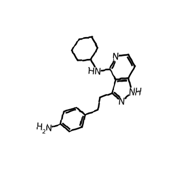 Nc1ccc(CCc2n[nH]c3ccnc(NC4CCCCC4)c23)cc1